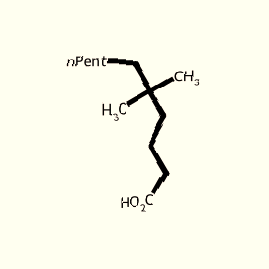 CCCCCCC(C)(C)CCCC(=O)O